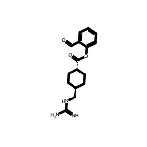 N=C(N)NC[C@H]1CC[C@H](C(=O)Oc2ccccc2C=O)CC1